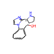 OCc1ccccc1-n1ccnc1[C@@H]1CCCN1